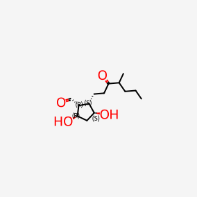 CCCC(C)C(=O)CC[C@H]1[C@@H](C=O)[C@H](O)C[C@@H]1O